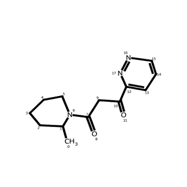 CC1CCCCN1C(=O)CC(=O)c1cccnn1